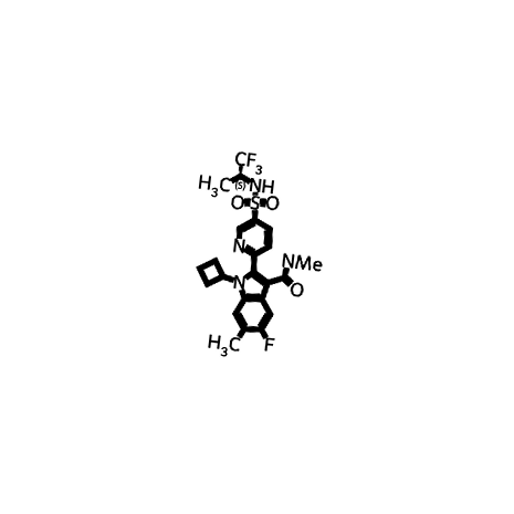 CNC(=O)c1c(-c2ccc(S(=O)(=O)N[C@@H](C)C(F)(F)F)cn2)n(C2CCC2)c2cc(C)c(F)cc12